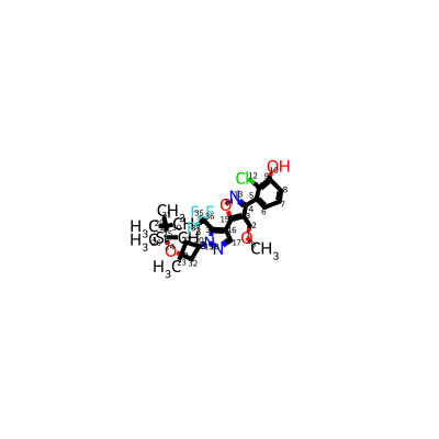 COCc1c(-c2cccc(O)c2Cl)noc1-c1cnn(C2CC(C)(O[Si](C)(C)C(C)(C)C)C2)c1C(F)(F)F